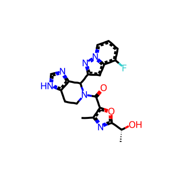 Cc1nc([C@@H](C)O)oc1C(=O)N1CCc2[nH]cnc2C1c1cc2c(F)cccn2n1